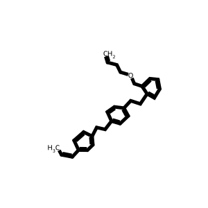 C=CCCOCc1ccccc1CCc1ccc(CCc2ccc(/C=C\C)cc2)cc1